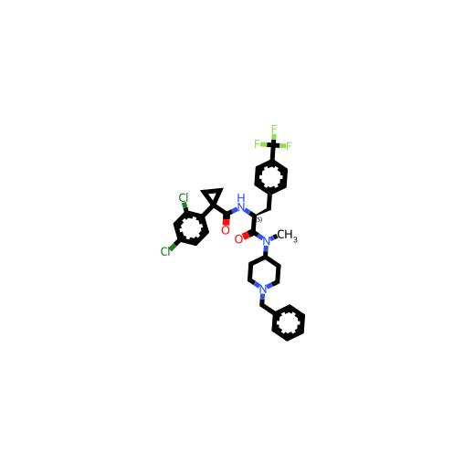 CN(C(=O)[C@H](Cc1ccc(C(F)(F)F)cc1)NC(=O)C1(c2ccc(Cl)cc2Cl)CC1)C1CCN(Cc2ccccc2)CC1